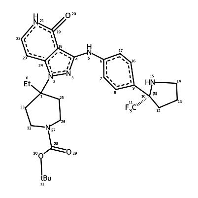 CCC1(n2nc(Nc3ccc([C@]4(C(F)(F)F)CCCN4)cc3)c3c(=O)[nH]ccc32)CCN(C(=O)OC(C)(C)C)CC1